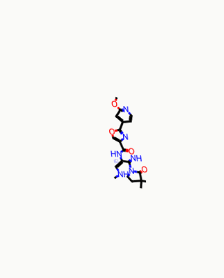 CN/C=C(/NC(=O)c1coc(-c2ccnc(OC)c2)n1)C(=N)N1CCC(C)(C)C1=O